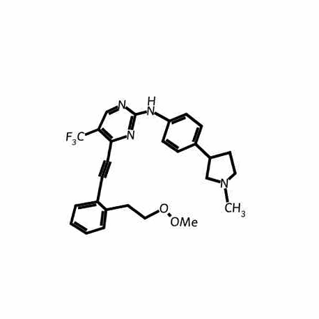 COOCCc1ccccc1C#Cc1nc(Nc2ccc(C3CCN(C)C3)cc2)ncc1C(F)(F)F